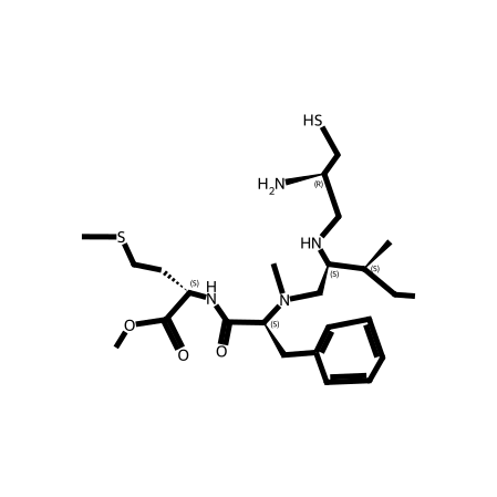 CC[C@H](C)[C@@H](CN(C)[C@@H](Cc1ccccc1)C(=O)N[C@@H](CCSC)C(=O)OC)NC[C@@H](N)CS